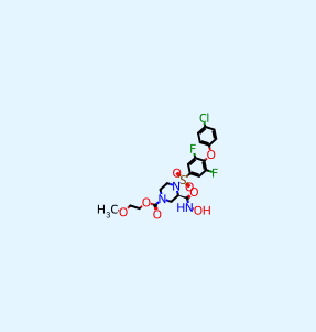 COCCOC(=O)N1CCN(S(=O)(=O)c2cc(F)c(Oc3ccc(Cl)cc3)c(F)c2)[C@@H](C(=O)NO)C1